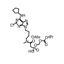 CO[C@@H](CCn1cnc2c(NC3CCCC3)nc(Cl)nc21)CN(C)C(=O)CP(=O)(O)OCOC(=O)OC(C)C